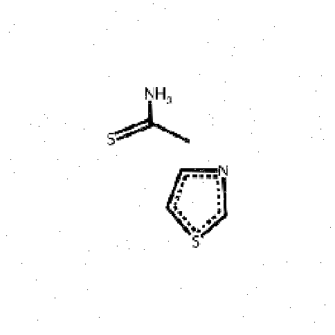 CC(N)=S.c1cscn1